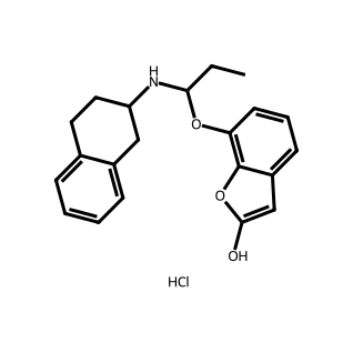 CCC(NC1CCc2ccccc2C1)Oc1cccc2cc(O)oc12.Cl